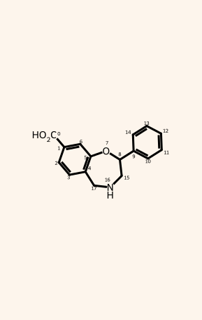 O=C(O)c1ccc2c(c1)OC(c1ccccc1)CNC2